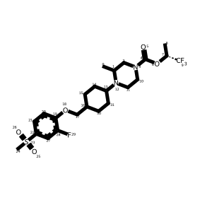 CC1CN(C(=O)O[C@H](C)C(F)(F)F)CCN1C1CCC(COc2ccc(S(C)(=O)=O)cc2F)CC1